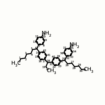 CCCCCCC(c1ccc(N)cc1)c1ccc(C(CC)c2ccc(C(CCCCCC)c3ccc(N)cc3)cc2)cc1